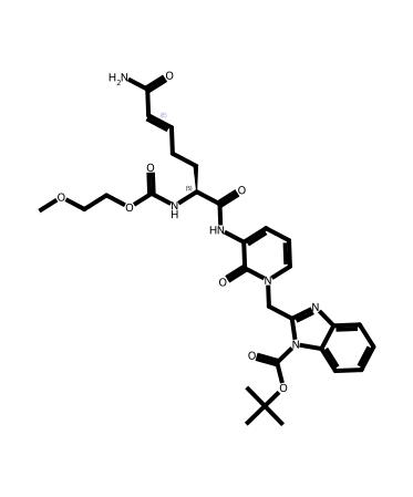 COCCOC(=O)N[C@@H](CC/C=C/C(N)=O)C(=O)Nc1cccn(Cc2nc3ccccc3n2C(=O)OC(C)(C)C)c1=O